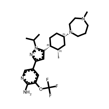 CC(C)n1nc(-c2cnc(N)c(OC(F)(F)F)c2)cc1[C@@H]1CC[C@H](N2CCCN(C)CC2)C[C@@H]1C